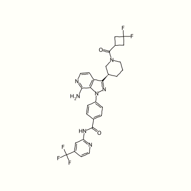 Nc1nccc2c([C@@H]3CCCN(C(=O)C4CC(F)(F)C4)C3)nn(-c3ccc(C(=O)Nc4cc(C(F)(F)F)ccn4)cc3)c12